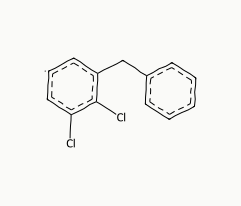 Clc1c[c]cc(Cc2ccccc2)c1Cl